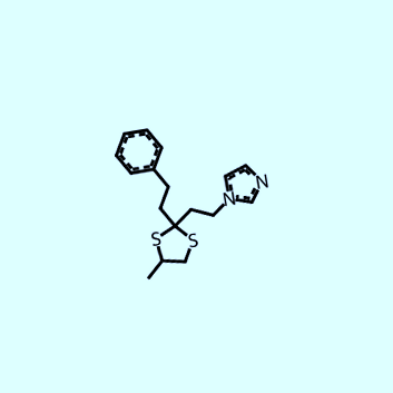 CC1CSC(CCc2ccccc2)(CCn2ccnc2)S1